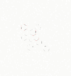 c1ccc(-c2ccccc2-c2c(-c3ccccc3)cccc2N(c2ccc3sc4ccccc4c3c2)c2ccccc2-c2cccc3c2sc2ccccc23)cc1